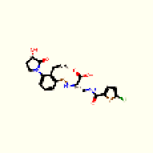 CCc1c(SN[C@@H](CNC(=O)c2ccc(Cl)s2)C(=O)O)cccc1N1CC[C@H](O)C1=O